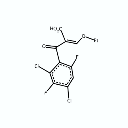 CCOC=C(C(=O)O)C(=O)c1c(F)cc(Cl)c(F)c1Cl